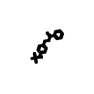 CS(=O)(=O)Nc1ccc(COC(=O)c2ccccc2)nc1